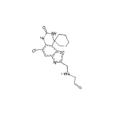 O=CCNCc1nc2cc(Cl)c3c(c2o1)C1(CCCCC1)NC(=O)N3